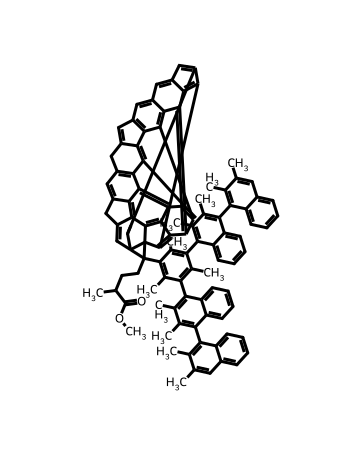 COC(=O)C(C)CCC1(c2c(C)c(-c3c(C)c(C)c(-c4c(C)c(C)cc5ccccc45)c4ccccc34)c(C)c(-c3c(C)c(C)c(-c4c(C)c(C)cc5ccccc45)c4ccccc34)c2C)C23C=C4Cc5cc6c7c8c5c4c4c5c9c(c%10c(cc%11cc%12cc%13cc(c%14c%13c%13c%12c(c%11%10)c9c%13c(c%147)c58)C6)C2)C431